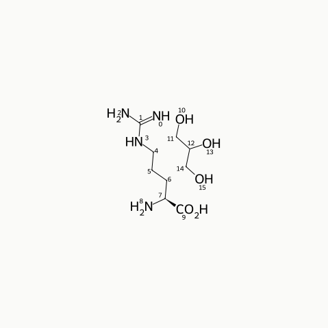 N=C(N)NCCC[C@H](N)C(=O)O.OCC(O)CO